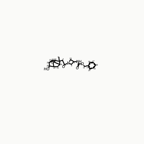 CC1(CC(=O)N2CC(NC(=O)OCc3ccccc3)C2)C2CC3CC1CC(C2)C3O